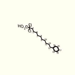 O=C(O)C(Cl)(Cl)CCCCCCCCCCc1ccccc1